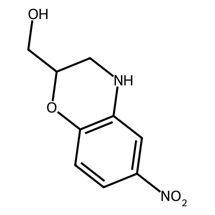 O=[N+]([O-])c1ccc2c(c1)NCC(CO)O2